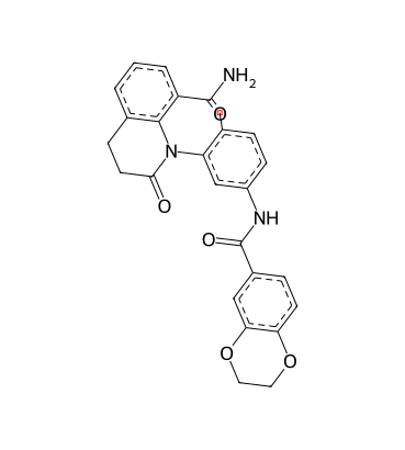 Cc1ccc(NC(=O)c2ccc3c(c2)OCCO3)cc1N1C(=O)CCc2cccc(C(N)=O)c21